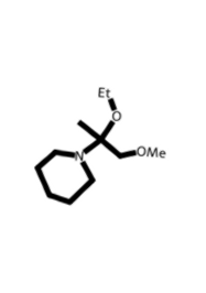 CCOC(C)(COC)N1CCCCC1